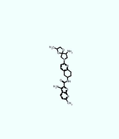 Cc1ccc2c(N)c(C(=O)NC3CCc4nc(N5CC(N)C6(C5)OCC(C)O6)ccc4C3)sc2n1